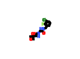 O=C(CNCCC1(O)COC1)NCc1cccc(Cl)c1F